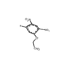 O=CCOc1cc(F)c([N+](=O)[O-])cc1[N+](=O)[O-]